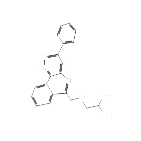 CC(O)CNCc1nc2cc(-c3ccccc3)nnc2c2ccccc12